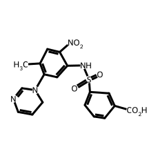 Cc1cc([N+](=O)[O-])c(NS(=O)(=O)c2cccc(C(=O)O)c2)cc1N1C=NC=CC1